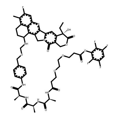 CC[C@@]1(O)C(=O)OCc2c1cc1n(c2=O)Cc2c-1nc1cc(F)c(C)c3c1c2C(NCOCc1ccc(NC(=O)[C@H](C)NC(=O)[C@H](C)NC(=O)[C@H](C)NC(=O)CCOCCOCCC(=O)Oc2c(F)c(F)cc(F)c2F)cc1)CC3